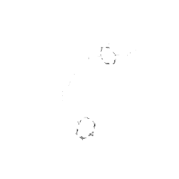 Cc1ccc(CC2CCN(CCOc3ccc(O)c(F)c3)CC2)cc1.Cl